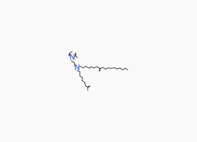 C=C(C)CCCCCCCN(CCCCCCCC(=C)CCCCCCCCCC)CCCN(/C=C\C)C(=C)C